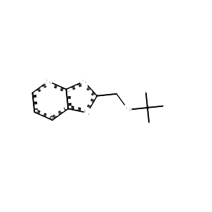 CC(C)(C)NCc1nc2ncccc2[nH]1